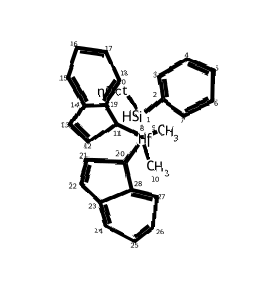 CCCCCCCC[SiH](c1ccccc1)[Hf]([CH3])([CH3])([CH]1C=Cc2ccccc21)[CH]1C=Cc2ccccc21